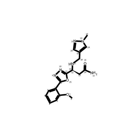 COc1ccccc1-c1nnc([C@H](CC(N)=O)NCc2cnn(C)c2)o1